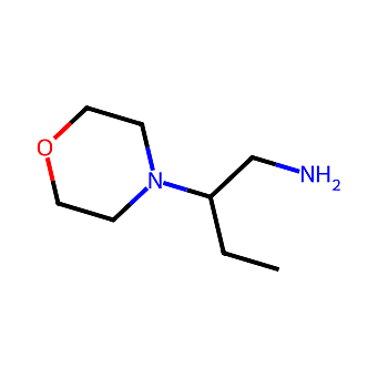 CCC(CN)N1CCOCC1